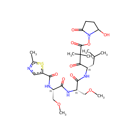 COC[C@H](NC(=O)c1cnc(C)s1)C(=O)N[C@@H](COC)C(=O)N[C@@H](CC(C)C)C(=O)C(C)(C)C(=O)ON1C(=O)CCC1O